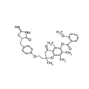 COc1ccccc1C(=O)Oc1c(C)c(C)c2c(c1C)C(=O)CC(C)(CCOc1ccc(CC3SC(=N)NC3=O)cc1)O2